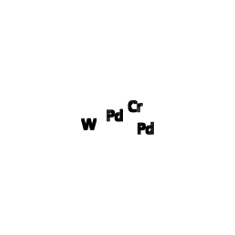 [Cr].[Pd].[Pd].[W]